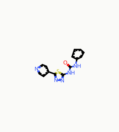 O=C(Nc1ccccc1)Nc1nnc(-c2ccncc2)s1